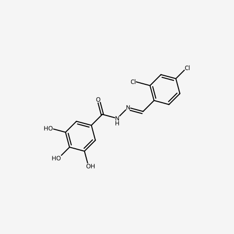 O=C(N/N=C/c1ccc(Cl)cc1Cl)c1cc(O)c(O)c(O)c1